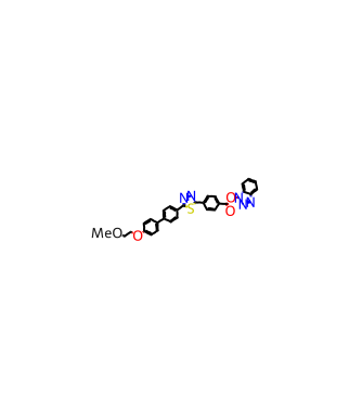 COCCOc1ccc(-c2ccc(-c3nnc(-c4ccc(C(=O)On5nnc6ccccc65)cc4)s3)cc2)cc1